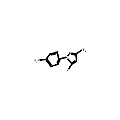 Nc1ccc(-n2nc(C(F)(F)F)cc2Br)cc1